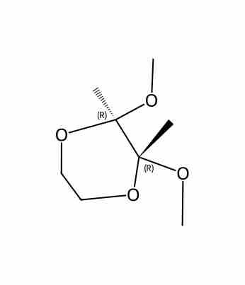 CO[C@]1(C)OCCO[C@@]1(C)OC